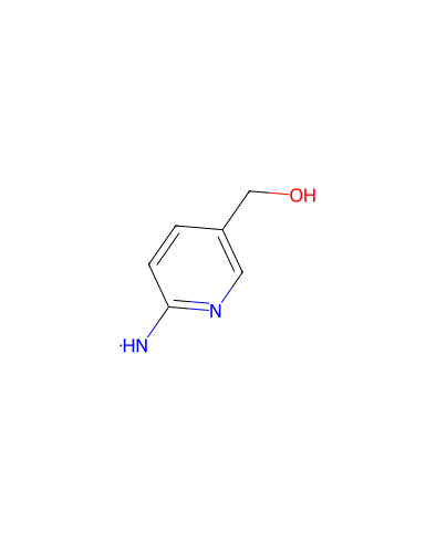 [NH]c1ccc(CO)cn1